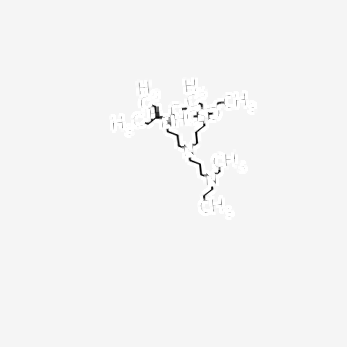 CCCN(CC)CCCN(CCCNC(CC)CC)CCC[Si](CC)(OCC)OCC